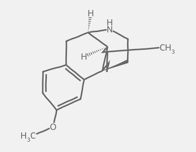 COc1ccc2c(c1)[C@]13CCN[C@H](C2)[C@H]1CC(C)CC3